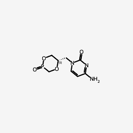 Nc1ccn(C[C@H]2CO[P](=O)CO2)c(=O)n1